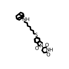 O=C1CCC(N2Cc3cc(SCCCCCCCNC45CC6CC(CC(C6)C4)C5)ccc3C2=O)C(=O)N1